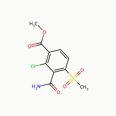 COC(=O)c1ccc(S(C)(=O)=O)c(C(N)=O)c1Cl